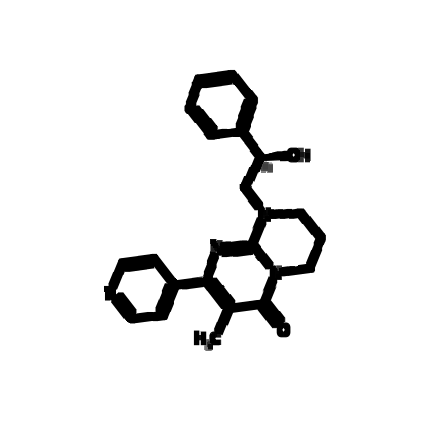 Cc1c(-c2ccncc2)nc2n(c1=O)CCCN2C[C@H](O)c1ccccc1